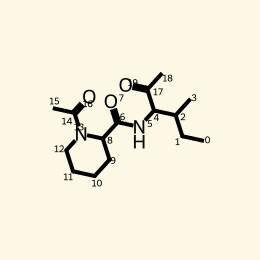 CCC(C)C(NC(=O)C1CCCCN1C(C)=O)C(C)=O